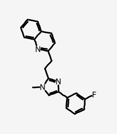 Cn1cc(-c2cccc(F)c2)nc1CCc1ccc2ccccc2n1